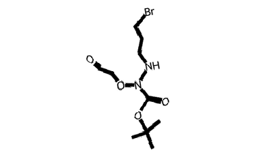 CC(C)(C)OC(=O)N(NCCCBr)OCC=O